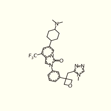 CN(C)C1CCC(c2cc(C(F)(F)F)c3cn(-c4cccc(C5(Cc6nncn6C)COC5)c4)c(=O)n3c2)CC1